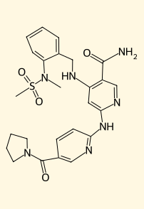 CN(c1ccccc1CNc1cc(Nc2ccc(C(=O)N3CCCC3)cn2)ncc1C(N)=O)S(C)(=O)=O